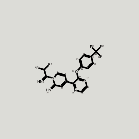 N=C(C(F)F)n1ccc(-c2nccnc2Oc2ccc(C(F)(F)F)cc2)cc1=N